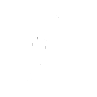 N#Cc1ccc(-c2nnn(-c3cc(F)cc(C#N)c3)n2)nc1